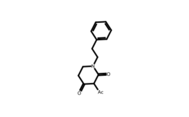 CC(=O)C1C(=O)CCN(CCc2ccccc2)C1=O